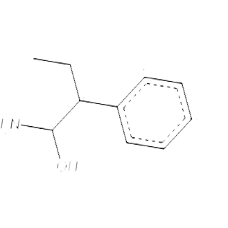 CCC(c1ccccc1)C(N)O